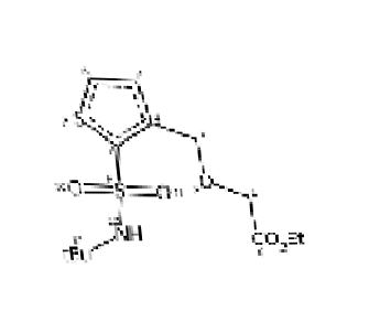 CCOC(=O)COCc1ccsc1S(=O)(=O)NC(C)(C)C